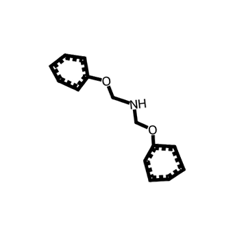 c1ccc(OCNCOc2ccccc2)cc1